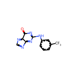 O=C1N=C(Nc2cccc(C(F)(F)F)c2)N=C2N=CN=C12